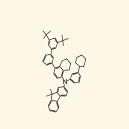 CC(C)(C)c1cc(-c2cccc(-c3ccc(N(c4cccc(C5CCCCC5)c4)c4ccc5c(c4)C(C)(C)c4ccccc4-5)c4c3CCCC4)c2)cc(C(C)(C)C)c1